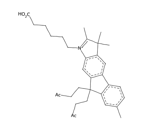 CC(=O)CCC1(CCC(C)=O)c2cc(C)ccc2-c2cc3c(cc21)[N+](CCCCCC(=O)O)=C(C)C3(C)C